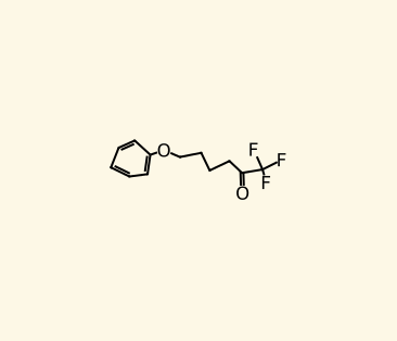 O=C(CCCCOc1ccccc1)C(F)(F)F